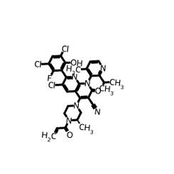 C=CC(=O)N1CCN(c2c(C#N)c(=O)n(-c3c(C)ccnc3C(C)C)c3nc(-c4c(O)c(Cl)cc(Cl)c4F)c(Cl)cc23)C[C@H]1C